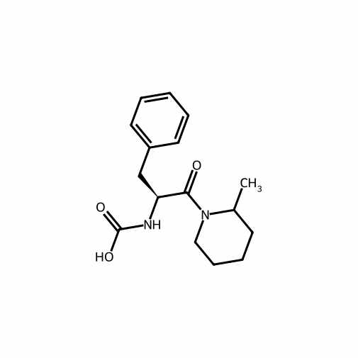 CC1CCCCN1C(=O)[C@H](Cc1ccccc1)NC(=O)O